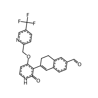 O=Cc1ccc2c(c1)CCC(c1c(OCc3ccc(C(F)(F)F)cn3)cc[nH]c1=O)=C2